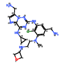 CN(CCNC1COC1)c1cc(CN)cc(Nc2nc(NC3CC3)c3ncc(CN)n3n2)c1Cl